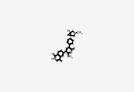 CN1C[C@@H]2C[C@]2(c2ccc(-c3cc(-c4ccc5c(=O)[nH]cc(F)c5c4)c(N)nc3F)cc2)C1